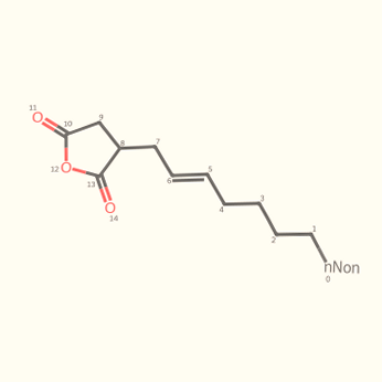 CCCCCCCCCCCCC/C=C/CC1CC(=O)OC1=O